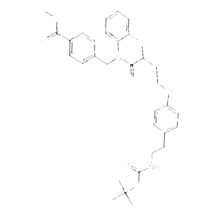 COC(=O)c1ccc(CN2C(=O)C(CCOc3ccc(CCNC(=O)OC(C)(C)C)cc3)Oc3ccccc32)cc1